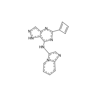 C1=CC(c2nc(Nc3cnc4ccccn34)c3[nH]ncc3n2)=C1